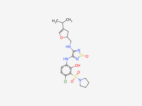 CC(C)C1=COC(CNc2n[s+]([O-])nc2Nc2ccc(Cl)c(S(=O)(=O)N3CCCC3)c2O)C1